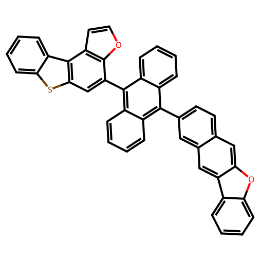 c1ccc2c(c1)oc1cc3ccc(-c4c5ccccc5c(-c5cc6sc7ccccc7c6c6ccoc56)c5ccccc45)cc3cc12